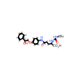 CC(C)(C)NC(=O)NC(CCC(=O)Nc1ccc(OCC(O)c2ccccc2)cc1)C(=O)O